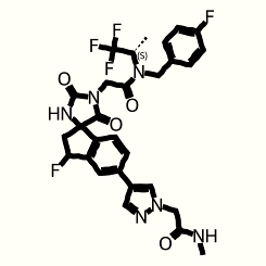 CNC(=O)Cn1cc(-c2ccc3c(c2)C(F)CC32NC(=O)N(CC(=O)N(Cc3ccc(F)cc3)[C@@H](C)C(F)(F)F)C2=O)cn1